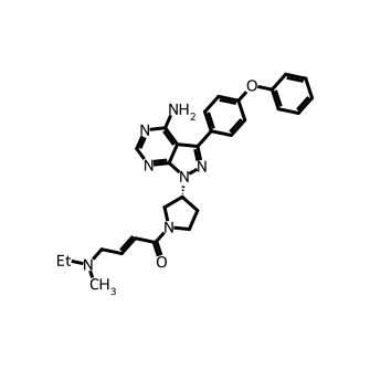 CCN(C)CC=CC(=O)N1CC[C@@H](n2nc(-c3ccc(Oc4ccccc4)cc3)c3c(N)ncnc32)C1